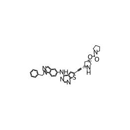 O=C(O[C@@H]1CN[C@H](C#Cc2cc3c(Nc4ccc5c(cnn5Cc5ccccc5)c4)ncnc3s2)C1)N1CCCC1